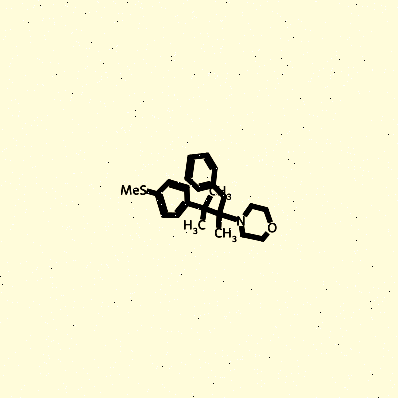 CSc1ccc(C(C)(C)C(C)(Cc2ccccc2)N2CCOCC2)cc1